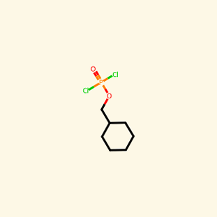 O=P(Cl)(Cl)OCC1CCCCC1